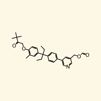 CCC(CC)(c1ccc(-c2cncc(COC=O)c2)cc1)c1ccc(OCC(=O)C(C)(C)C)c(C)c1